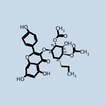 CCC[C@@H]1C[C@@H](Oc2c(-c3ccc(O)cc3)oc3cc(O)cc(O)c3c2=O)[C@H](OC(C)=O)[C@H](O)[C@H]1OC(C)=O